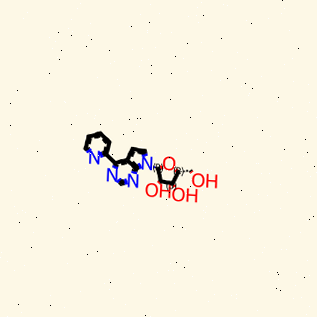 OC[C@H]1O[C@@H](n2ccc3c(-c4ccccn4)ncnc32)C(O)[C@@H]1O